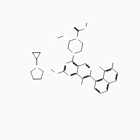 CC(C)(C)OC(=O)N1CCN(c2nc(OC[C@@H]3CCCN3C3CC3)nc3c(F)c(-c4cccc5ccc(F)c(Cl)c45)ncc23)C[C@@H]1CC#N